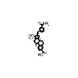 C[C@]12CC[C@@H]3c4ccc(C(=O)O)cc4CC[C@H]3[C@@H]1CC(=Cc1cccc(C(N)=O)c1)C2O